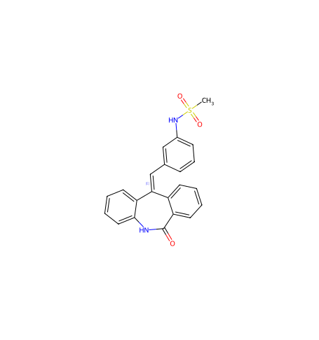 CS(=O)(=O)Nc1cccc(/C=C2/c3ccccc3NC(=O)c3ccccc32)c1